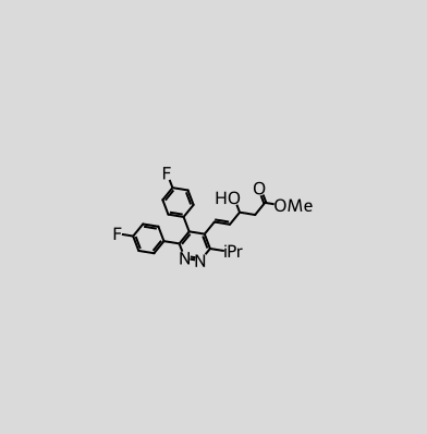 COC(=O)CC(O)/C=C/c1c(C(C)C)nnc(-c2ccc(F)cc2)c1-c1ccc(F)cc1